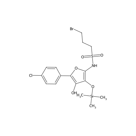 C[Si](C)(C)Oc1c(NS(=O)(=O)CCCBr)oc(-c2ccc(Cl)cc2)c1O